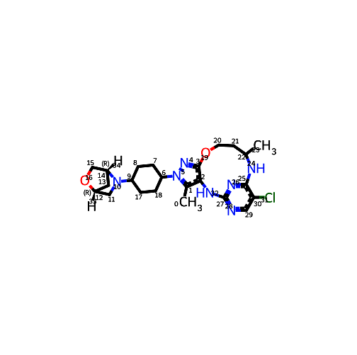 Cc1c2c(nn1C1CCC(N3C[C@H]4C[C@@H]3CO4)CC1)OCCC(C)Nc1nc(ncc1Cl)N2